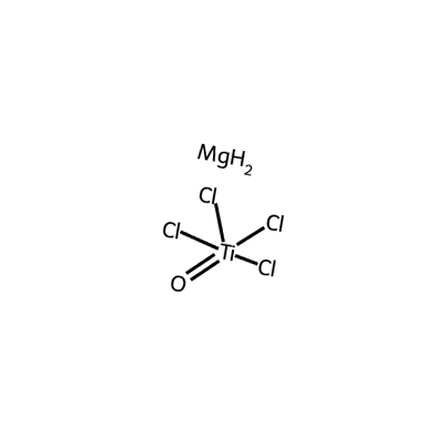 [MgH2].[O]=[Ti]([Cl])([Cl])([Cl])[Cl]